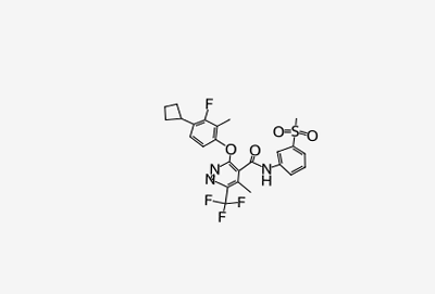 Cc1c(Oc2nnc(C(F)(F)F)c(C)c2C(=O)Nc2cccc(S(C)(=O)=O)c2)ccc(C2CCC2)c1F